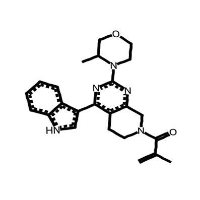 C=C(C)C(=O)N1CCc2c(nc(N3CCOCC3C)nc2-c2c[nH]c3ccccc23)C1